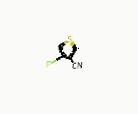 N#Cc1[c]scc1F